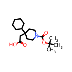 CC(C)(C)OC(=O)N1CCC(CC(=O)O)(C2CCCCC2)CC1